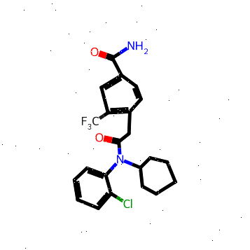 NC(=O)c1ccc(CC(=O)N(c2ccccc2Cl)C2CCCCC2)c(C(F)(F)F)c1